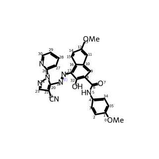 COc1ccc(NC(=O)c2cc3cc(OC)ccc3c(/N=N/c3c(C#N)cnn3-c3ccccn3)c2O)cc1